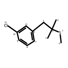 CSC(C)(C)Cc1cccc(Cl)c1